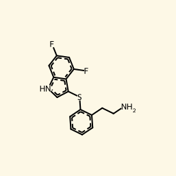 NCCc1ccccc1Sc1c[nH]c2cc(F)cc(F)c12